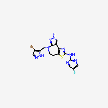 Fc1cnc(Nc2nc3c(s2)CCN(Cc2[nH]ncc2Br)c2n[nH]cc2-3)nc1